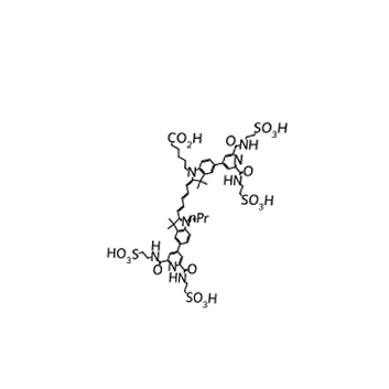 CCC[N+]1=C(/C=C/C=C/C=C2/N(CCCCCC(=O)O)c3ccc(-c4cc(C(=O)NCCS(=O)(=O)O)nc(C(=O)NCCS(=O)(=O)O)c4)cc3C2(C)C)C(C)(C)c2cc(-c3cc(C(=O)NCCS(=O)(=O)O)nc(C(=O)NCCS(=O)(=O)O)c3)ccc21